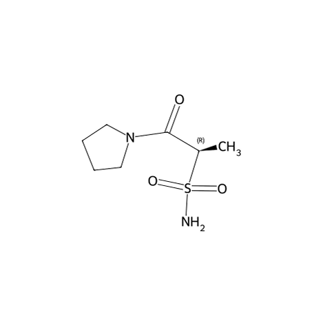 C[C@H](C(=O)N1CCCC1)S(N)(=O)=O